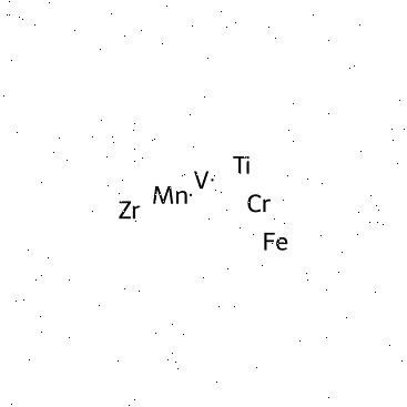 [Cr].[Fe].[Mn].[Ti].[V].[Zr]